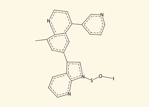 Cc1cc(-c2cn(SOI)c3ncccc23)cc2c(-c3cccnc3)ccnc12